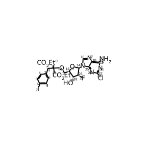 CCOC(=O)C(Cc1ccc(I)cc1)(OC[C@H]1O[C@@H](n2cnc3c(N)nc(Cl)nc32)[C@@H](F)[C@@H]1O)C(=O)OCC